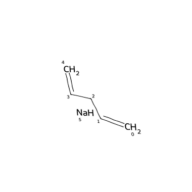 C=CCC=C.[NaH]